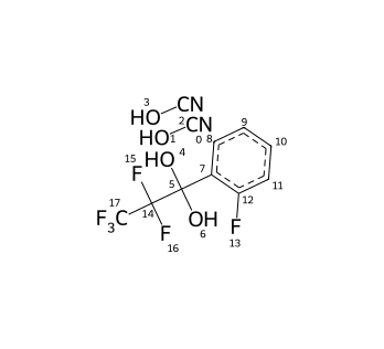 N#CO.N#CO.OC(O)(c1ccccc1F)C(F)(F)C(F)(F)F